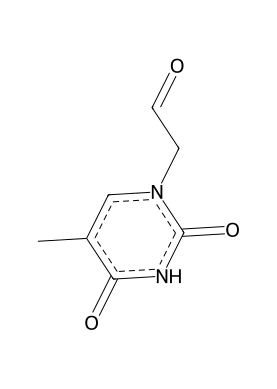 Cc1cn(CC=O)c(=O)[nH]c1=O